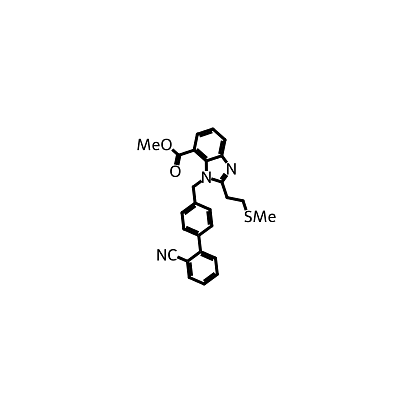 COC(=O)c1cccc2nc(CCSC)n(Cc3ccc(-c4ccccc4C#N)cc3)c12